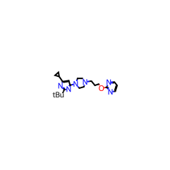 CC(C)(C)c1nc(C2CC2)cc(N2CCN(CCCOc3ncccn3)CC2)n1